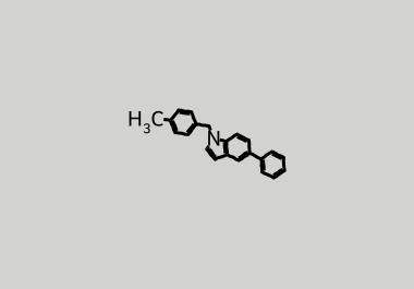 Cc1ccc(Cn2ccc3cc(-c4ccccc4)ccc32)cc1